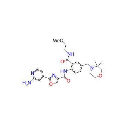 COCCNC(=O)c1cc(CN2CCOCC2(C)C)ccc1NC(=O)c1coc(-c2ccnc(N)c2)n1